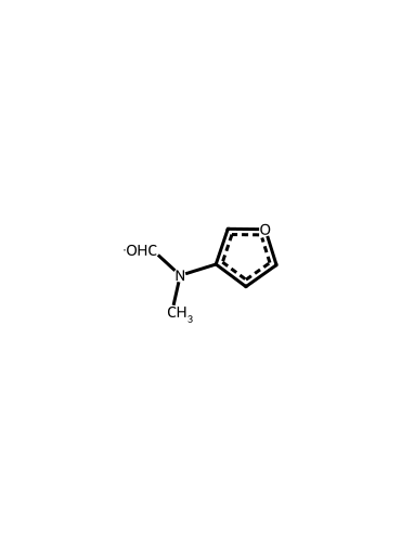 CN([C]=O)c1ccoc1